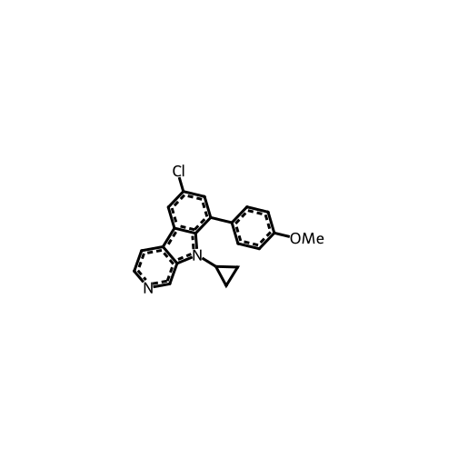 COc1ccc(-c2cc(Cl)cc3c4ccncc4n(C4CC4)c23)cc1